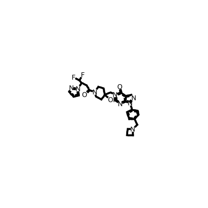 O=C(CC(C(F)F)n1cccn1)N1CCC(O)(Cn2cnc3c(cnn3-c3ccc(CN4CCC4)cc3)c2=O)CC1